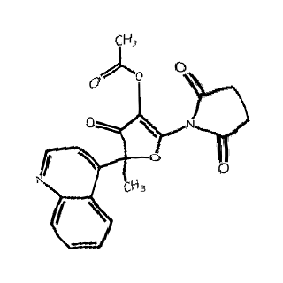 CC(=O)OC1=C(N2C(=O)CCC2=O)OC(C)(c2ccnc3ccccc23)C1=O